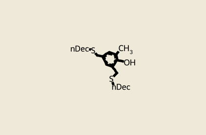 CCCCCCCCCCSCc1cc(C)c(O)c(CSCCCCCCCCCC)c1